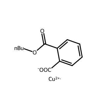 CCCCOC(=O)c1ccccc1C(=O)[O-].[Cu+2]